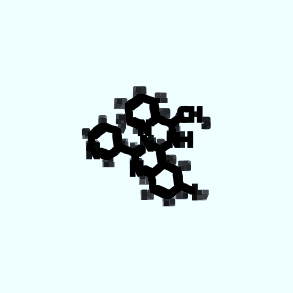 CC(Nc1nc(-c2cccnc2)nc2ccc(I)cc12)c1ccccn1